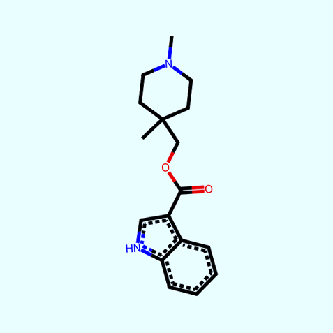 CN1CCC(C)(COC(=O)c2c[nH]c3ccccc23)CC1